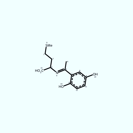 CSCCC(N=C(C)c1cc(O)ccc1O)C(=O)O